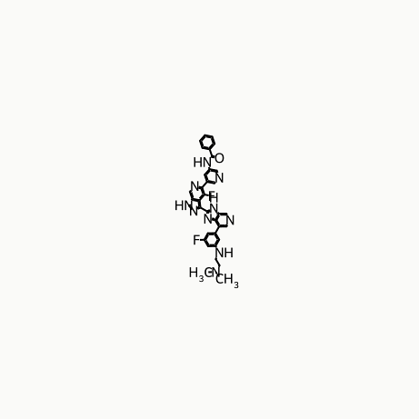 CN(C)CCNc1cc(F)cc(-c2cncc3[nH]c(-c4n[nH]c5cnc(-c6cncc(NC(=O)c7ccccc7)c6)c(F)c45)nc23)c1